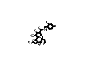 COCC[C@]1(C)C(=O)c2c(O)c(=O)c(C(=O)NCc3ccc(F)cc3F)cn2[C@H]2CCO[C@H]21